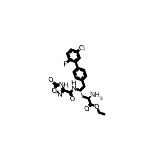 CCOC(=O)[C@H](N)C[C@@H](Cc1ccc(-c2cc(Cl)ccc2F)cc1)NC(=O)c1noc(=O)[nH]1